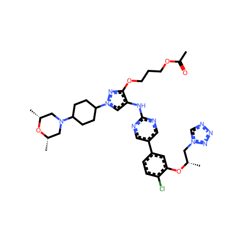 CC(=O)OCCCOc1nn(C2CCC(N3C[C@@H](C)O[C@@H](C)C3)CC2)cc1Nc1ncc(-c2ccc(Cl)c(O[C@@H](C)Cn3cnnn3)c2)cn1